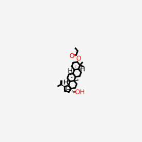 C=C(C)[C@@H]1CC[C@]2(CO)CC[C@]3(C)[C@H](CC[C@@H]4[C@@]5(C)CC[C@H](OC(=O)CC)C(C)(C)[C@@H]5CC[C@]43C)[C@@H]12